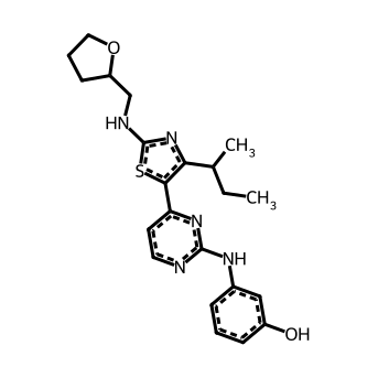 CCC(C)c1nc(NCC2CCCO2)sc1-c1ccnc(Nc2cccc(O)c2)n1